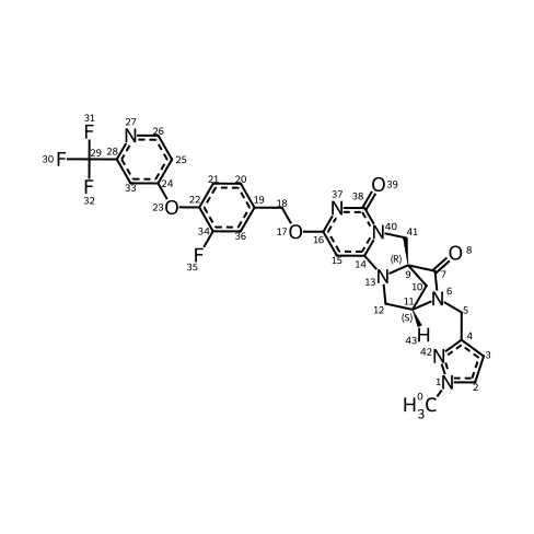 Cn1ccc(CN2C(=O)[C@]34C[C@H]2CN3c2cc(OCc3ccc(Oc5ccnc(C(F)(F)F)c5)c(F)c3)nc(=O)n2C4)n1